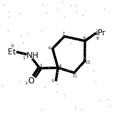 CCNC(=O)C1(C)CCC(C(C)C)CC1